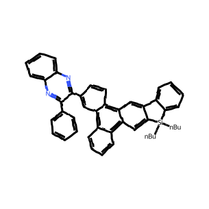 CCCC[Si]1(CCCC)c2ccccc2-c2cc3c4ccc(-c5nc6ccccc6nc5-c5ccccc5)cc4c4ccccc4c3cc21